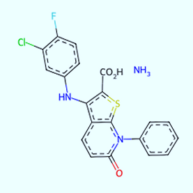 N.O=C(O)c1sc2c(ccc(=O)n2-c2ccccc2)c1Nc1ccc(F)c(Cl)c1